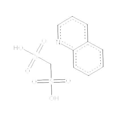 O=S(=O)(O)CS(=O)(=O)O.c1ccc2ncccc2c1